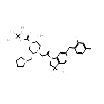 C[C@@H]1CN(CC(=O)N2CC(C)(C)c3cnc(Cc4ccc(F)cc4F)cc32)[C@@H](CN2CCCC2)CN1C(=O)OC(C)(C)C